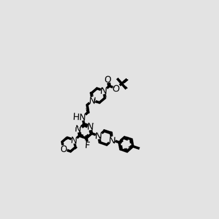 Cc1ccc(N2CCN(c3nc(NCCN4CCN(C(=O)OC(C)(C)C)CC4)nc(N4CCOCC4)c3F)CC2)cc1